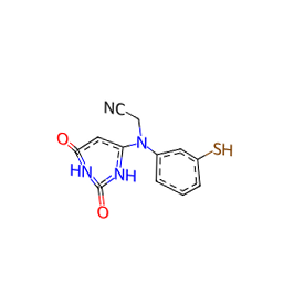 N#CCN(c1cccc(S)c1)c1cc(=O)[nH]c(=O)[nH]1